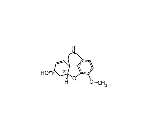 COc1ccc2c3c1O[C@@H]1C[C@@H](O)C=CC31CCNC2